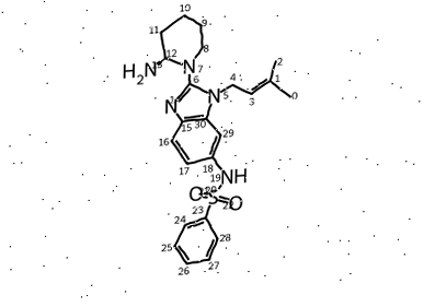 CC(C)=CCn1c(N2CCCC[C@@H]2N)nc2ccc(NS(=O)(=O)c3ccccc3)cc21